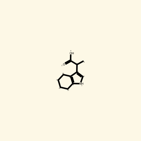 CC(C(=O)O)c1c[nH]c2c1CCCC2